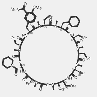 CC[C@H](C)[C@H]1C(=O)N[C@@H]([C@@H](C)O)C(O)N(C)CC(=O)N(C)[C@@H](CC)C(=O)N[C@H](C(=O)N2CCCCC2)CC(=O)N(C)[C@@H](CC(C)C)C(=O)N[C@@H](Cc2ccc(OC)c(C(=O)NC)c2)C(=O)N(C)[C@@H](CC(C)C)C(=O)N(C)[C@@H](CC2CCCCC2)C(=O)N[C@@H](CC(C)C)C(=O)N(C)[C@@H](CC(C)C)C(=O)N1C